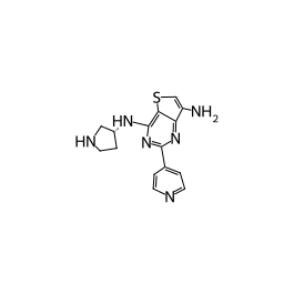 Nc1csc2c(N[C@@H]3CCNC3)nc(-c3ccncc3)nc12